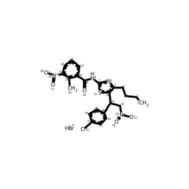 Br.CCCCc1nc(NC(=O)c2cccc([N+](=O)[O-])c2C)sc1C(C[N+](=O)[O-])c1ccc(Cl)cc1